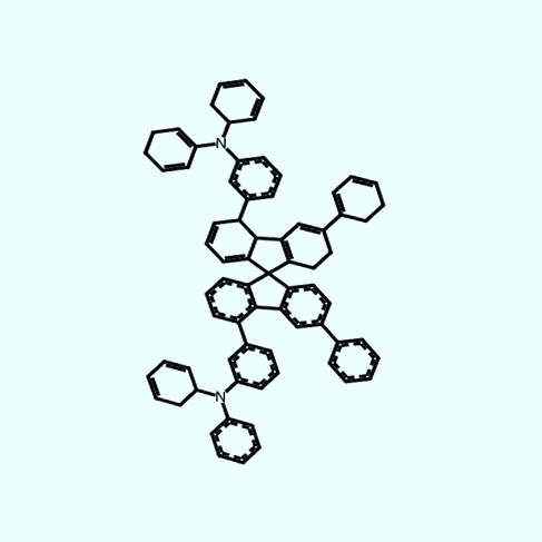 C1=CCCC(C2=CC3=C(CC2)C2(C4=CC=CC(c5cccc(N(C6=CCCC=C6)C6C=CC=CC6)c5)C43)c3ccc(-c4ccccc4)cc3-c3c(-c4cccc(N(c5ccccc5)C5C=CC=CC5)c4)cccc32)=C1